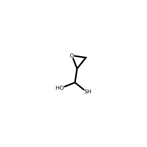 OC(S)C1CO1